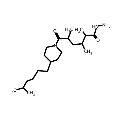 CC(C)CCCCC1CCN(C(=O)C(C)CC(C)C(C)C(=O)NN)CC1